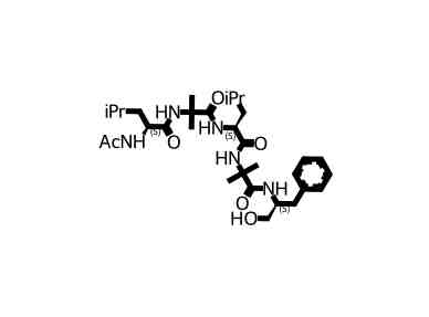 CC(=O)N[C@@H](CC(C)C)C(=O)NC(C)(C)C(=O)N[C@@H](CC(C)C)C(=O)NC(C)(C)C(=O)N[C@H](CO)Cc1ccccc1